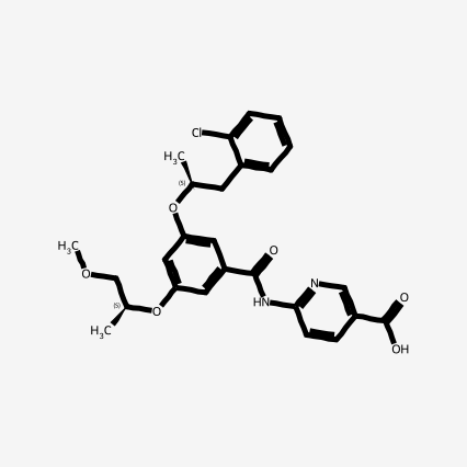 COC[C@H](C)Oc1cc(O[C@@H](C)Cc2ccccc2Cl)cc(C(=O)Nc2ccc(C(=O)O)cn2)c1